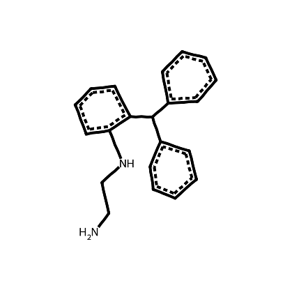 NCCNc1ccccc1C(c1ccccc1)c1ccccc1